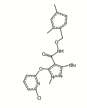 Cc1ccc(CONC(=O)c2c(C(C)(C)C)nn(C)c2Oc2cccc(Cl)n2)c(C)c1